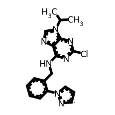 CC(C)n1cnc2c(NCc3ccccc3-n3cc[c]n3)nc(Cl)nc21